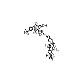 Cc1ncsc1-c1ccc(CNC(=O)[C@@H]2C[C@@H](O)CN2C(=O)[C@@H](NC(=O)CCCCOc2ccc(Nc3[nH]nc(-c4ccc(NS(=O)(=O)C(F)F)cc4)c3C(N)=O)nc2)C(C)(C)C)cc1